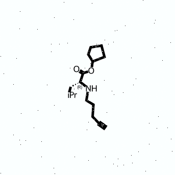 C#CCCCN[C@H](CC(C)C)C(=O)OC1CCCC1